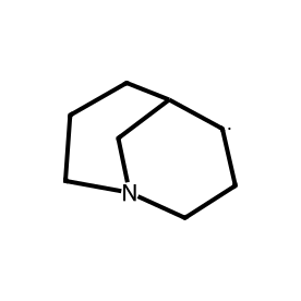 [CH]1CCN2CCCC1C2